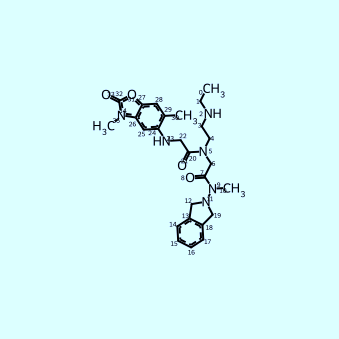 CCNCCN(CC(=O)N(C)N1Cc2ccccc2C1)C(=O)CNc1cc2c(cc1C)oc(=O)n2C